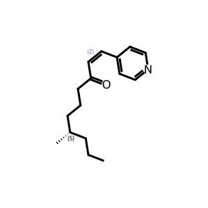 CCC[C@H](C)CCCC(=O)/C=C\c1ccncc1